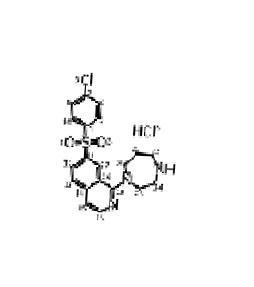 Cl.O=S(=O)(c1ccc(Cl)cc1)c1ccc2ccnc(N3CCCNCC3)c2c1